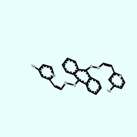 [2H]c1ccnc(/C=C\OOc2c3ccccc3c(OO/C=C\c3cc([2H])ccn3)c3ccccc23)c1